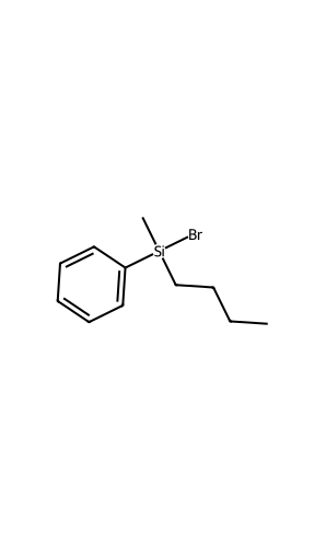 CCCC[Si](C)(Br)c1ccccc1